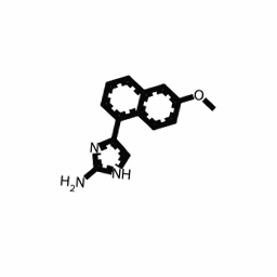 COc1ccc2c(-c3c[nH]c(N)n3)cccc2c1